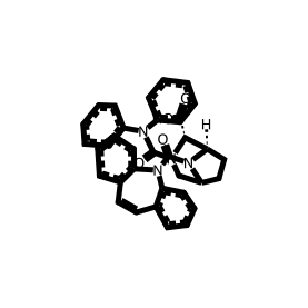 O=C(O)[C@@H]1[C@H]2CCC(CN1C(=O)N(c1ccccc1)c1ccccc1)N2C(=O)N1c2ccccc2C=Cc2ccccc21